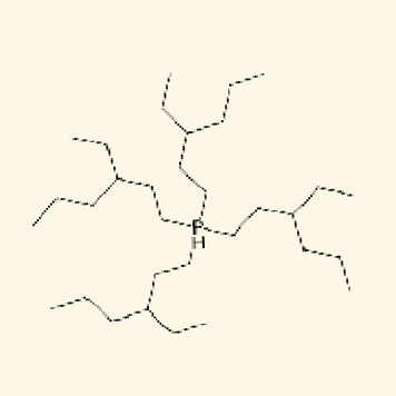 CCCC(CC)CC[PH](CCC(CC)CCC)(CCC(CC)CCC)CCC(CC)CCC